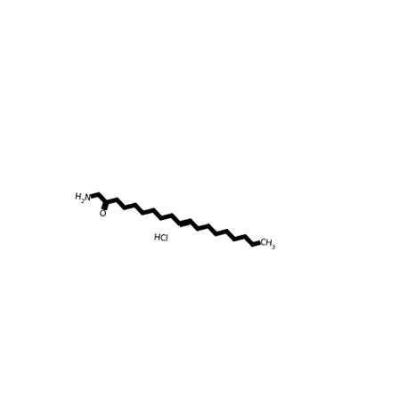 CCCCCCCCC=CCCCCCCCC(=O)CN.Cl